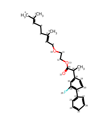 CC(C)=CCC/C(C)=C/COCCOC(=O)C(C)c1ccc(-c2ccccc2)c(F)c1